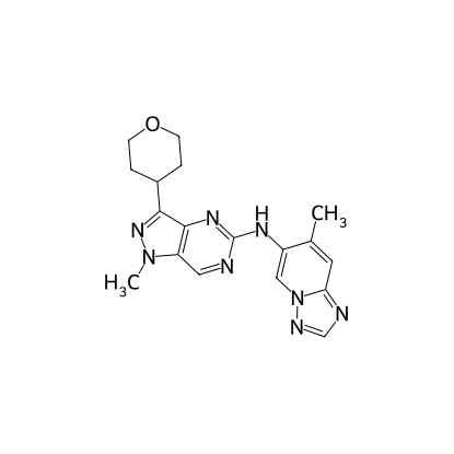 Cc1cc2ncnn2cc1Nc1ncc2c(n1)c(C1CCOCC1)nn2C